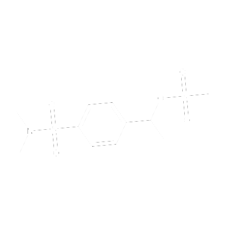 CC(OS(C)(=O)=O)c1ccc(S(=O)(=O)N(C)C)cc1